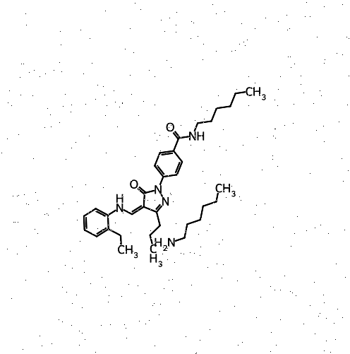 CCCCCCN.CCCCCCNC(=O)c1ccc(N2N=C(CCC)C(=CNc3ccccc3CC)C2=O)cc1